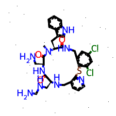 CN1C(=O)[C@H](CN)NC(=O)[C@H](CNCN)NCc2cccnc2Sc2c(Cl)cc(Cl)cc2CNC(=O)[C@@H]1Cc1c[nH]c2ccccc12